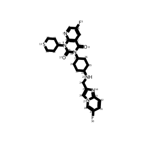 O=c1c2cc(F)cnc2n(C2CCSCC2)c(=O)n1C1CCC(NCc2cn3cc(F)ccc3n2)CC1